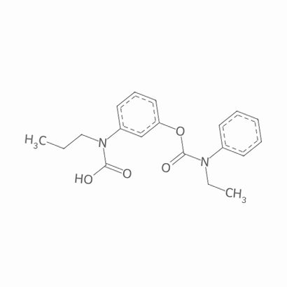 CCCN(C(=O)O)c1cccc(OC(=O)N(CC)c2ccccc2)c1